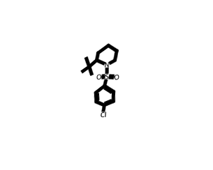 CC(C)(C)C1CCCCN1S(=O)(=O)c1ccc(Cl)cc1